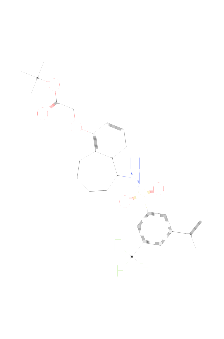 C=C(C)c1cc(C(F)(F)F)cc(S(=O)(=O)NC2CCCCC3=C(OCC(=O)OC(C)(C)C)C=CCC32)c1